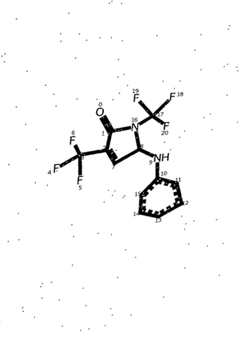 O=C1C(C(F)(F)F)=CC(Nc2ccccc2)N1C(F)(F)F